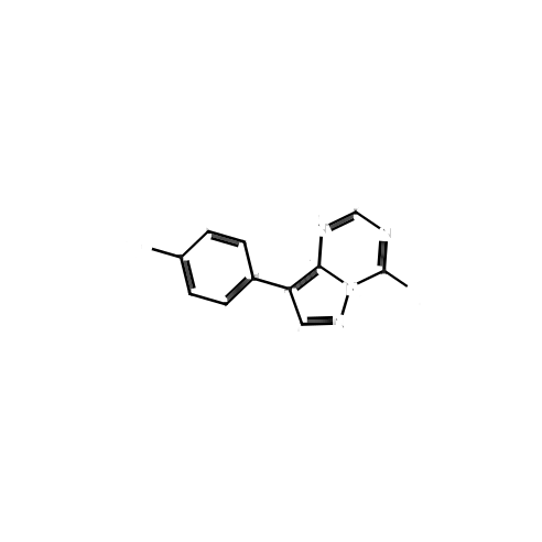 O=C(O)c1ccc(-c2cnn3c(O)ncnc23)cc1